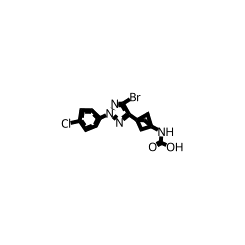 O=C(O)NC12CC(c3nn(-c4ccc(Cl)cc4)nc3Br)(C1)C2